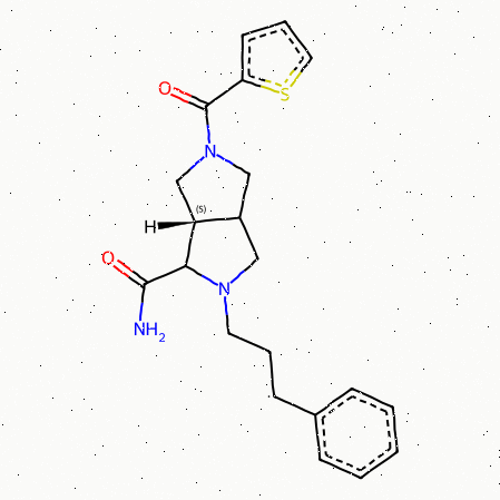 NC(=O)C1[C@@H]2CN(C(=O)c3cccs3)CC2CN1CC[CH]c1ccccc1